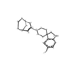 Fc1ccc2c(c1)C1(CCN(C3CC4CCCC(C4)C3)CC1)CN2